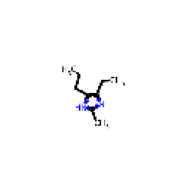 CCCc1[nH]c(C)nc1CC